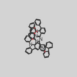 c1ccc(-c2nc(-c3cccc(-c4ccccc4)c3-n3c4ccccc4c4ccccc43)nc(-c3c(-c4ccccc4)cccc3-n3c4ccccc4c4cc(-n5c6ccccc6c6ccccc65)ccc43)n2)cc1